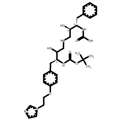 CC(C)(C)OC(=O)N[C@@H](Cc1ccc(OCCn2ccnc2)cc1)C(O)CNC[C@@H](O)[C@H](Cc1ccccc1)NC(=O)O